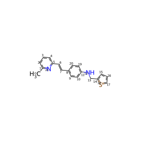 Cc1cccc(C=Cc2ccc(NCc3cccs3)cc2)n1